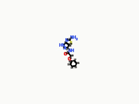 Nc1nc2[nH]nc(NC(=O)COc3ccccc3)c2s1